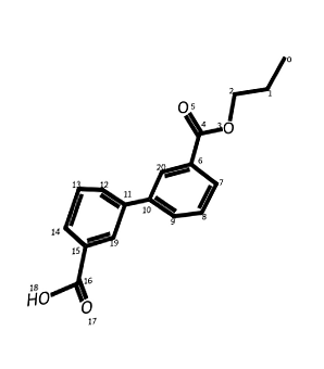 CCCOC(=O)c1cccc(-c2cccc(C(=O)O)c2)c1